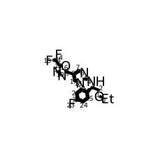 CCOCC(Nc1ncc(-c2nnc(C(F)F)o2)cn1)c1ccc(F)cc1